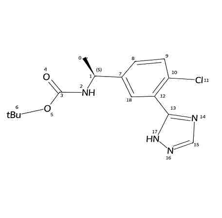 [CH2][C@H](NC(=O)OC(C)(C)C)c1ccc(Cl)c(-c2ncn[nH]2)c1